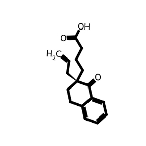 C=CC[C@]1(CCCC(=O)O)CCc2ccccc2C1=O